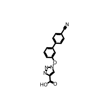 N#Cc1ccc(-c2cccc(On3cc(C(=O)O)nn3)c2)cc1